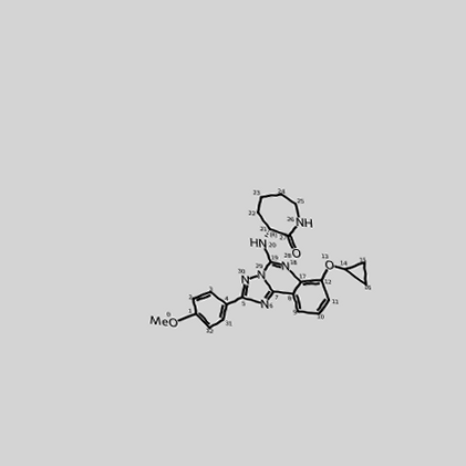 COc1ccc(-c2nc3c4cccc(OC5CC5)c4nc(N[C@@H]4CCCCNC4=O)n3n2)cc1